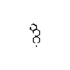 CN1CCC2(CCc3ccncc3O2)CC1